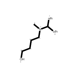 CCCC(CCC)N(C)CCCCO